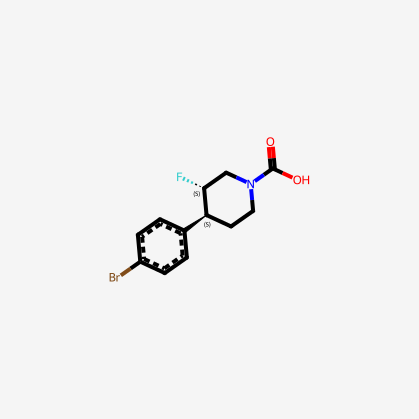 O=C(O)N1CC[C@@H](c2ccc(Br)cc2)[C@H](F)C1